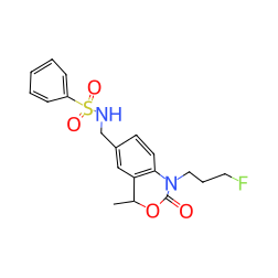 CC1OC(=O)N(CCCF)c2ccc(CNS(=O)(=O)c3ccccc3)cc21